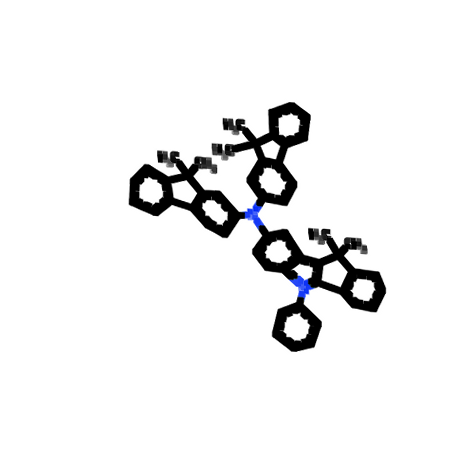 CC1(C)c2ccccc2-c2ccc(N(c3ccc4c(c3)C(C)(C)c3ccccc3-4)c3ccc4c(c3)c3c(n4-c4ccccc4)-c4ccccc4C3(C)C)cc21